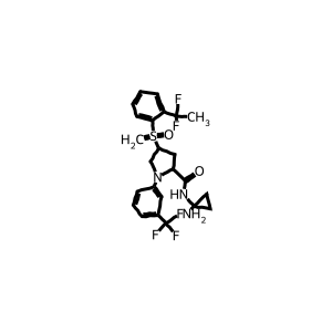 C=S(=O)(c1ccccc1C(C)(F)F)C1CC(C(=O)NC2(N)CC2)N(c2cccc(C(F)(F)F)c2)C1